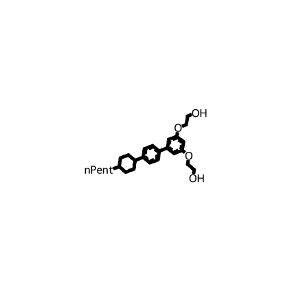 CCCCCC1CCC(c2ccc(-c3cc(OCCO)cc(OCCO)c3)cc2)CC1